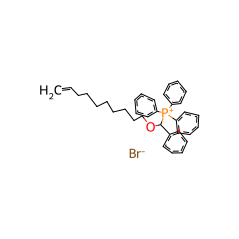 C=CCCCCCCCCOC(c1ccccc1)[P+](c1ccccc1)(c1ccccc1)c1ccccc1.[Br-]